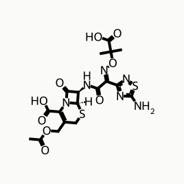 CC(=O)OCC1=C(C(=O)O)N2C(=O)[C@@H](NC(=O)C(=NOC(C)(C)C(=O)O)c3nsc(N)n3)[C@H]2SC1